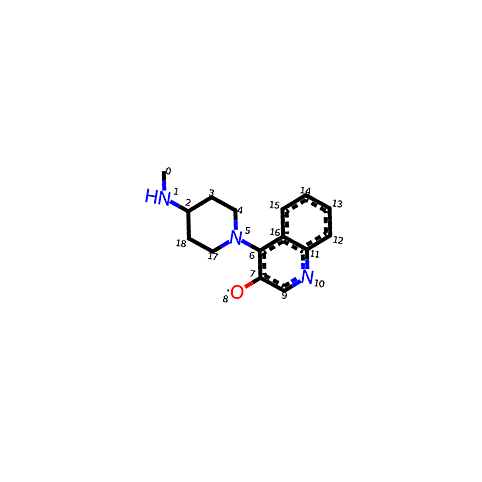 CNC1CCN(c2c([O])cnc3ccccc23)CC1